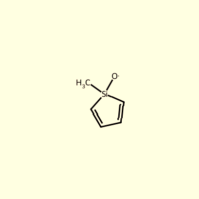 C[Si]1([O])C=CC=C1